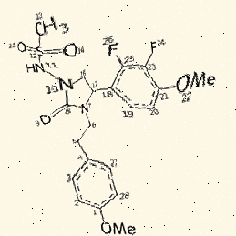 COc1ccc(CCN2C(=O)N(NS(C)(=O)=O)CC2c2ccc(OC)c(F)c2F)cc1